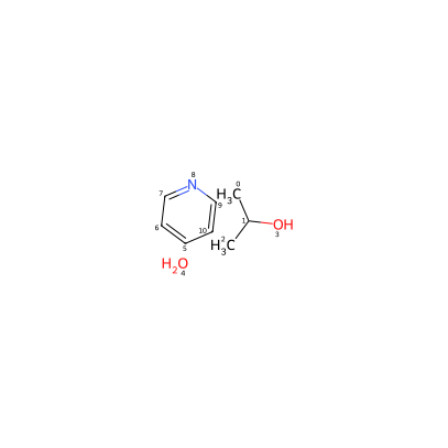 CC(C)O.O.c1ccncc1